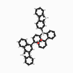 c1ccc(-c2ccccc2N(c2ccc(-c3cc4c5ccccc5oc4c4ccccc34)cc2)c2ccc3c(c2)sc2ccccc23)cc1